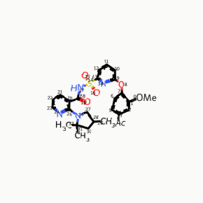 COc1cc(C(C)=O)ccc1Oc1cccc(S(=O)(=O)NC(=O)c2cccnc2N2CC(C)CC2(C)C)n1